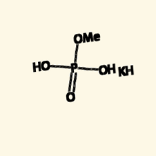 COP(=O)(O)O.[KH]